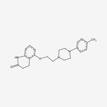 Cc1ccc(N2CCN(CCOc3cccc4c3CCC(=O)N4)CC2)cc1